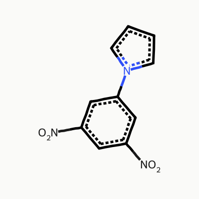 O=[N+]([O-])c1cc(-n2cccc2)cc([N+](=O)[O-])c1